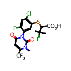 Cn1c(C(F)(F)F)cc(=O)n(-c2cc(SC(C(=O)O)C(C)(C)F)c(Cl)cc2F)c1=O